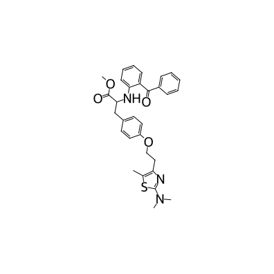 COC(=O)C(Cc1ccc(OCCc2nc(N(C)C)sc2C)cc1)Nc1ccccc1C(=O)c1ccccc1